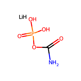 NC(=O)OP(=O)(O)O.[LiH]